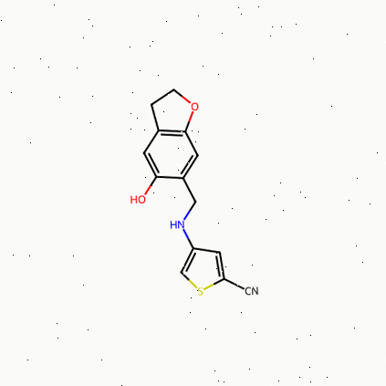 N#Cc1cc(NCc2cc3c(cc2O)CCO3)cs1